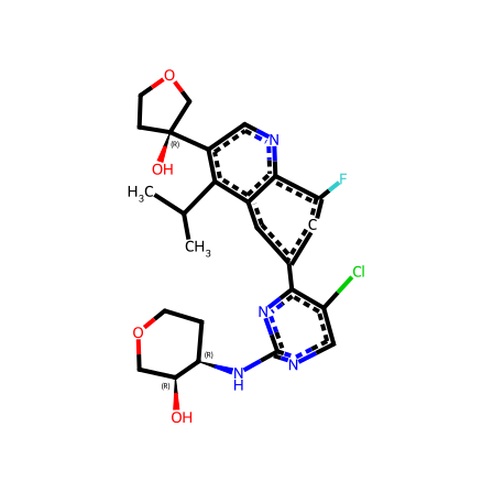 CC(C)c1c([C@]2(O)CCOC2)cnc2c(F)cc(-c3nc(N[C@@H]4CCOC[C@@H]4O)ncc3Cl)cc12